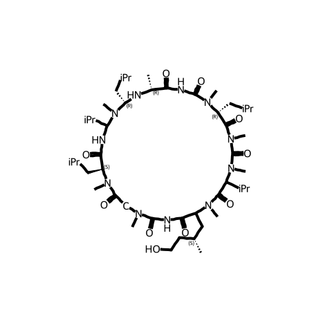 CC(C)C[C@@H]1C(=O)N(C)C(=O)N(C)C(C(C)C)C(=O)N(C)C(C[C@H](C)CCO)C(=O)NC(=O)N(C)CC(=O)N(C)[C@@H](CC(C)C)C(=O)NC(C(C)C)N(C)[C@H](CC(C)C)N[C@H](C)C(=O)NC(=O)N1C